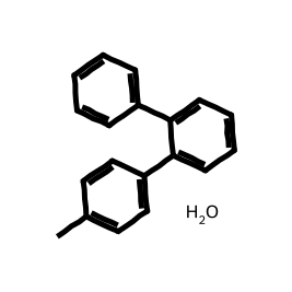 Cc1ccc(-c2ccccc2-c2ccccc2)cc1.O